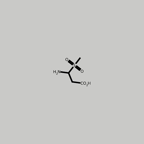 CS(=O)(=O)C(N)CC(=O)O